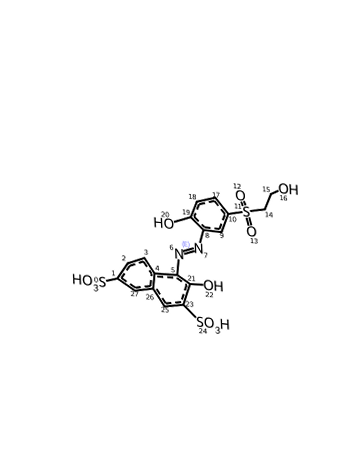 O=S(=O)(O)c1ccc2c(/N=N/c3cc(S(=O)(=O)CCO)ccc3O)c(O)c(S(=O)(=O)O)cc2c1